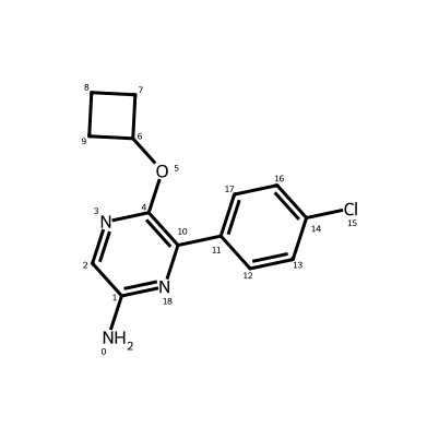 Nc1cnc(OC2CCC2)c(-c2ccc(Cl)cc2)n1